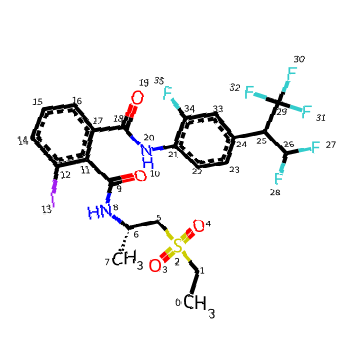 CCS(=O)(=O)C[C@H](C)NC(=O)c1c(I)cccc1C(=O)Nc1ccc(C(C(F)F)C(F)(F)F)cc1F